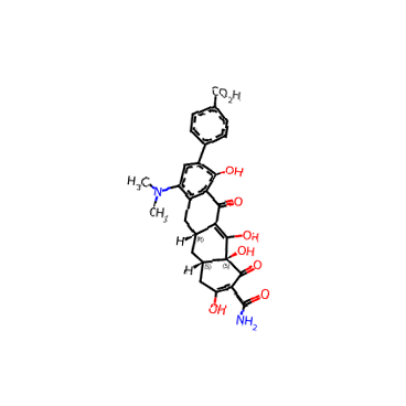 CN(C)c1cc(-c2ccc(C(=O)O)cc2)c(O)c2c1C[C@H]1C[C@H]3CC(O)=C(C(N)=O)C(=O)[C@@]3(O)C(O)=C1C2=O